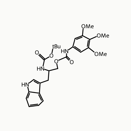 COc1cc(NC(=O)OCC(Cc2c[nH]c3ccccc23)NC(=O)OC(C)(C)C)cc(OC)c1OC